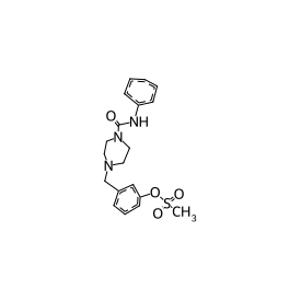 CS(=O)(=O)Oc1cccc(CN2CCN(C(=O)Nc3ccccc3)CC2)c1